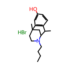 Br.CCCCN1CCC2(C)CC1C(C)c1ccc(O)cc12